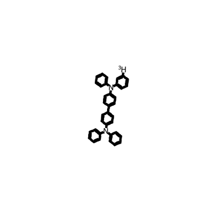 [3H]c1cccc(N(c2ccccc2)c2ccc(-c3ccc(N(c4ccccc4)c4ccccc4)cc3)cc2)c1